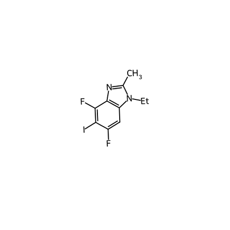 CCn1c(C)nc2c(F)c(I)c(F)cc21